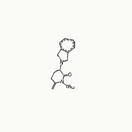 C=C1CCC(N2Cc3ccccc3C2)C(=O)N1C(C)(C)C